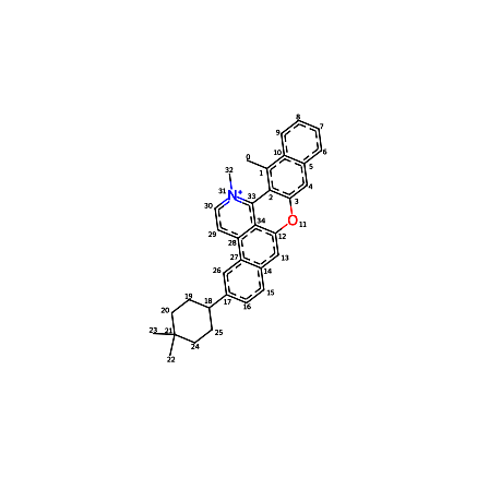 Cc1c2c(cc3ccccc13)Oc1cc3ccc(C4CCC(C)(C)CC4)cc3c3cc[n+](C)c-2c13